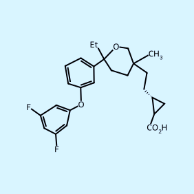 CCC1(c2cccc(Oc3cc(F)cc(F)c3)c2)CCC(C)(CC[C@@H]2CC2C(=O)O)CO1